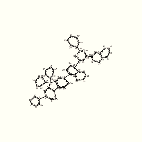 c1ccc(-c2ccc3c(c2)C(c2ccccc2)(c2ccccc2)c2cc(-c4ccc(-c5cc(-c6ccc7ccccc7c6)nc(-c6ccccc6)n5)c5ccccc45)ccc2-3)cc1